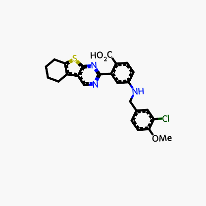 COc1ccc(CNc2ccc(C(=O)O)c(-c3ncc4c5c(sc4n3)CCCC5)c2)cc1Cl